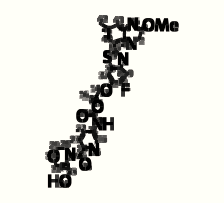 COc1cnc2c(-c3nc4cc(F)c(OC[C@@H](C)OC(=O)Nc5ccc(C(=O)N6CCOC[C@H]6CO)nc5)cc4s3)cc(C)cc2n1